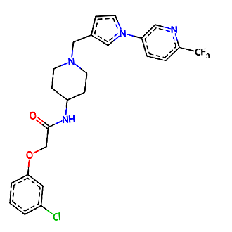 O=C(COc1cccc(Cl)c1)NC1CCN(Cc2ccn(-c3ccc(C(F)(F)F)nc3)c2)CC1